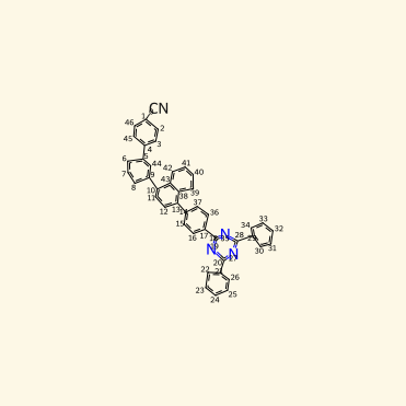 N#Cc1ccc(-c2cccc(-c3ccc(-c4ccc(-c5nc(-c6ccccc6)nc(-c6ccccc6)n5)cc4)c4ccccc34)c2)cc1